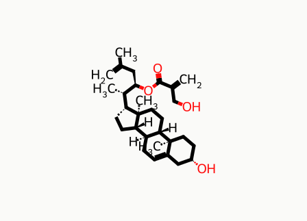 C=C(C)C[C@@H](OC(=O)C(=C)CO)[C@@H](C)[C@H]1CC[C@H]2[C@@H]3CC=C4C[C@@H](O)CC[C@]4(C)[C@H]3CC[C@]12C